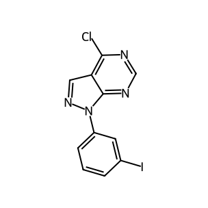 Clc1ncnc2c1cnn2-c1cccc(I)c1